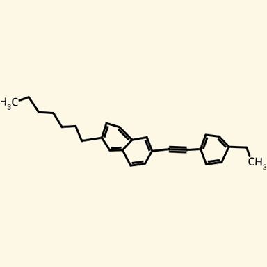 CCCCCCCc1ccc2cc(C#Cc3ccc(CC)cc3)ccc2c1